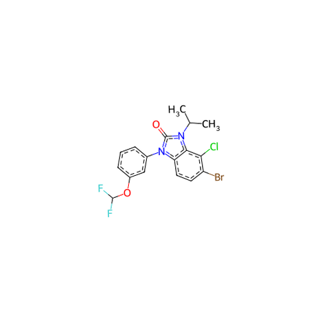 CC(C)n1c(=O)n(-c2cccc(OC(F)F)c2)c2ccc(Br)c(Cl)c21